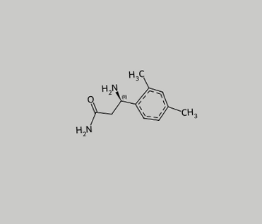 Cc1ccc([C@H](N)CC(N)=O)c(C)c1